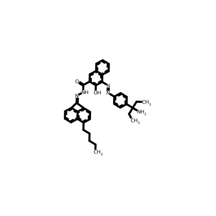 CCCCCc1ccc2c3c(cccc13)C2=NNC(=O)c1cc2ccccc2c(N=Nc2ccc(C(N)(CC)CC)cc2)c1O